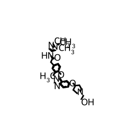 Cc1cc(CC(=O)Nc2cnn(C(C)(C)C)c2)ccc1Oc1ncnc2ccc(OC3CCN(CCO)CC3)cc12